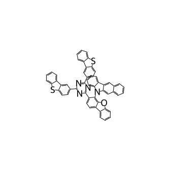 c1ccc2cc3c(cc2c1)c1ccccc1n3-c1c(-c2nc(-c3ccc4sc5ccccc5c4c3)nc(-c3ccc4sc5ccccc5c4c3)n2)ccc2c1oc1ccccc12